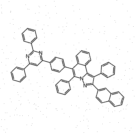 c1ccc(-c2cc(-c3ccc(-c4c(-c5ccccc5)n5nc(-c6ccc7ccccc7c6)c(-c6ccccc6)c5c5ccccc45)cc3)nc(-c3ccccc3)n2)cc1